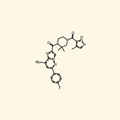 Cc1cn[nH]c1C(=O)N1CCN(C(=O)c2cn3nc(-c4ccc(F)cc4)cc(C(C)(C)C)c3n2)C(C)(C)C1